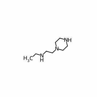 CCNCCN1CCNCC1